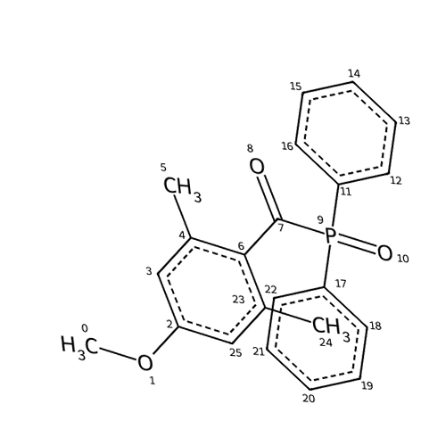 COc1cc(C)c(C(=O)P(=O)(c2ccccc2)c2ccccc2)c(C)c1